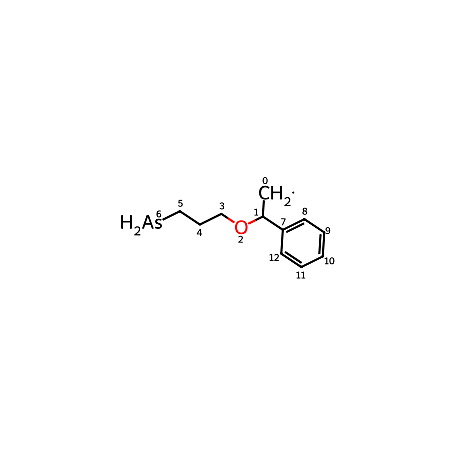 [CH2]C(OCCC[AsH2])c1ccccc1